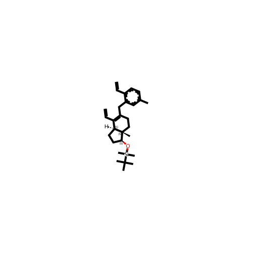 C=CC1=C(Cc2cc(C)ccc2C=C)CC[C@]2(C)[C@@H](O[Si](C)(C)C(C)(C)C)CC[C@@H]12